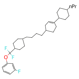 CCCC1CCC(C2=CCC(CCCCC3CCC(C(F)(F)Oc4cccc(F)c4)CC3)CC2)CC1